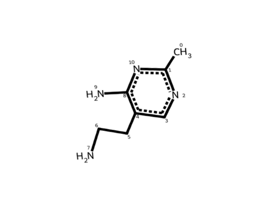 Cc1ncc(CCN)c(N)n1